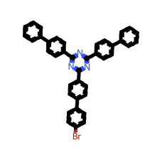 Brc1ccc(-c2ccc(-c3nc(-c4ccc(-c5ccccc5)cc4)nc(-c4ccc(-c5ccccc5)cc4)n3)cc2)cc1